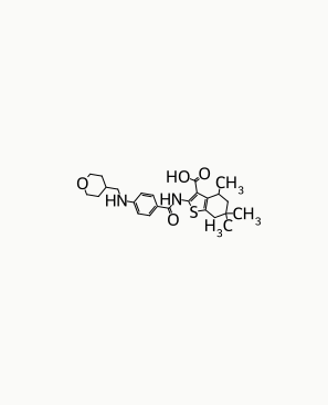 CC1CC(C)(C)Cc2sc(NC(=O)c3ccc(NCC4CCOCC4)cc3)c(C(=O)O)c21